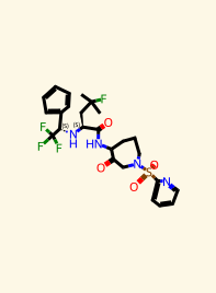 CC(C)(F)C[C@H](N[C@@H](c1ccccc1)C(F)(F)F)C(=O)NC1CCCN(S(=O)(=O)c2ccccn2)CC1=O